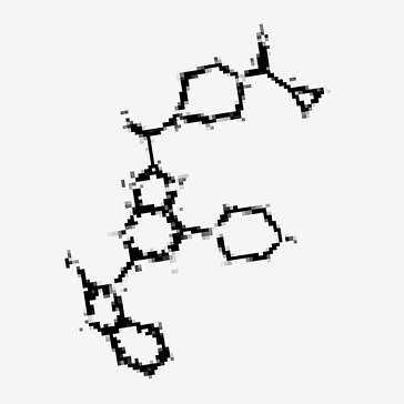 CCc1nc2ccccc2n1-c1nc(N2CCOCC2)c2nc(C(=O)N3CCN(C(=O)C4CC4)CC3)[nH]c2n1